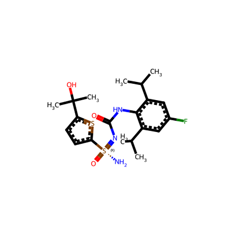 CC(C)c1cc(F)cc(C(C)C)c1NC(=O)N=[S@@](N)(=O)c1ccc(C(C)(C)O)s1